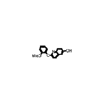 COc1ccccc1Oc1ccc2cc(O)ccc2n1